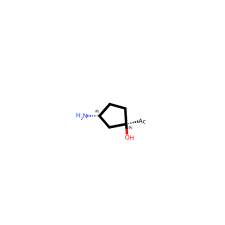 CC(=O)[C@@]1(O)CC[C@@H](N)C1